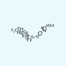 CCCCCCCCc1cnc(-c2ccc(OCCOC(F)C(F)(F)OC(F)(F)C(F)(F)OC(F)(F)C(F)(F)C(F)(F)C(F)(F)F)cc2)nc1